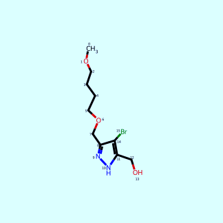 COCCCCOCc1n[nH]c(CO)c1Br